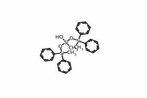 C[Si](O)(O[Si](C)(c1ccccc1)c1ccccc1)O[Si](C)(c1ccccc1)c1ccccc1